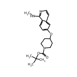 CNc1nccc2cc(OC3CCN(C(=O)OC(C)(C)C)CC3)ccc12